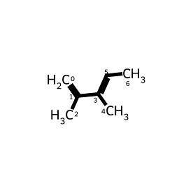 C=C(C)C(C)=CC